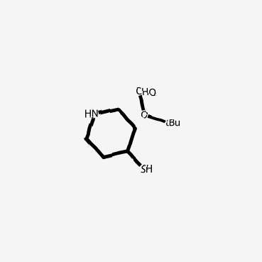 CC(C)(C)OC=O.SC1CCNCC1